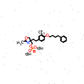 CC1=NC(CCc2ccc(OCCCCc3ccccc3)c(C(F)(F)F)c2)(COP(=O)(OC(C)(C)C)OC(C)(C)C)CO1